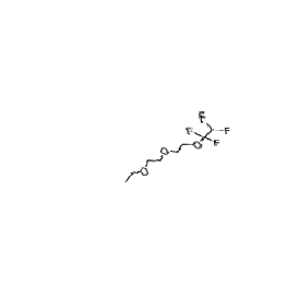 CCOCCOCCOC(F)(F)C(F)F